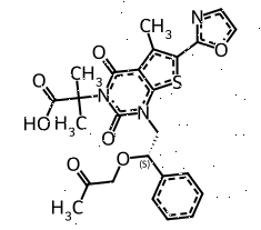 CC(=O)CO[C@H](Cn1c(=O)n(C(C)(C)C(=O)O)c(=O)c2c(C)c(-c3ncco3)sc21)c1ccccc1